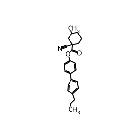 CCCc1ccc(-c2ccc(OC(=O)C3(C#N)CCCC(C)C3)cc2)cc1